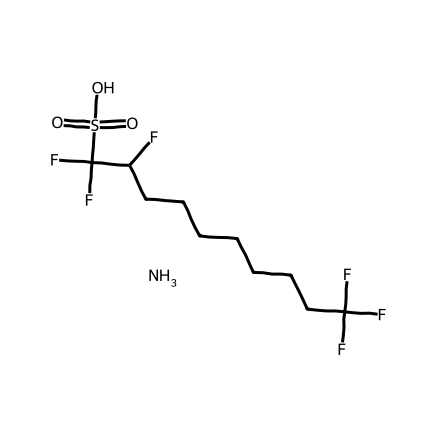 N.O=S(=O)(O)C(F)(F)C(F)CCCCCCCC(F)(F)F